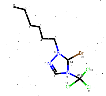 CCCCCCN1N=CN(C(Cl)(Cl)Cl)C1Br